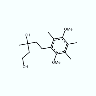 COc1c(C)c(C)c(OC)c(CCC(C)(O)CCO)c1C